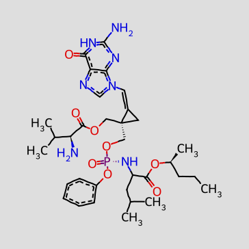 CCC[C@H](C)OC(=O)C(CC(C)C)N[P@](=O)(OC[C@@]1(COC(=O)[C@@H](N)C(C)C)C/C1=C/n1cnc2c(=O)[nH]c(N)nc21)Oc1ccccc1